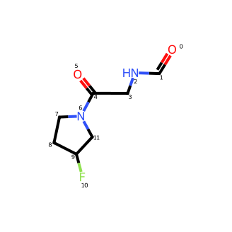 O=CNCC(=O)N1CCC(F)C1